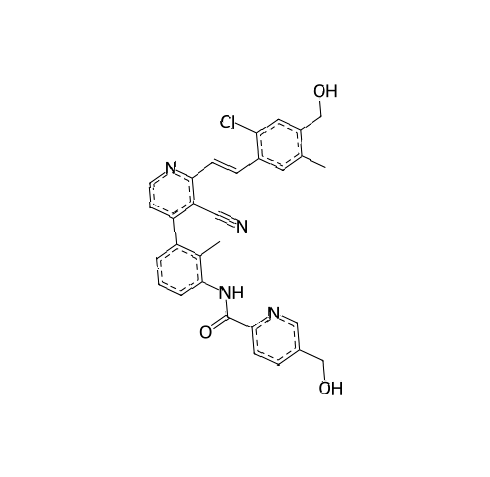 Cc1cc(C=Cc2nccc(-c3cccc(NC(=O)c4ccc(CO)cn4)c3C)c2C#N)c(Cl)cc1CO